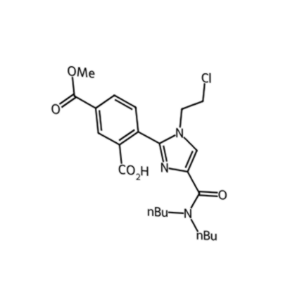 CCCCN(CCCC)C(=O)c1cn(CCCl)c(-c2ccc(C(=O)OC)cc2C(=O)O)n1